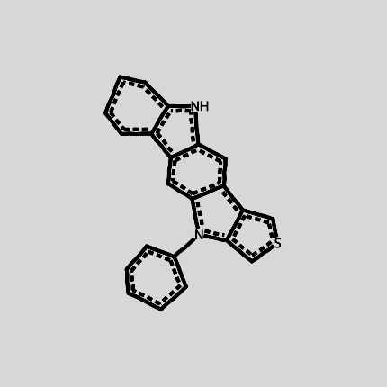 c1ccc(-n2c3cscc3c3cc4[nH]c5ccccc5c4cc32)cc1